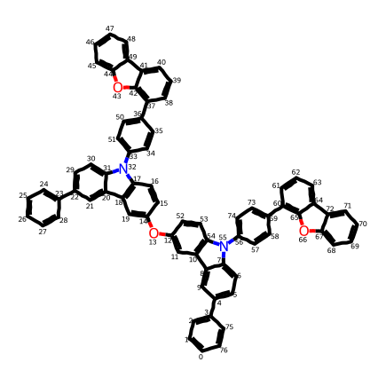 c1ccc(-c2ccc3c(c2)c2cc(Oc4ccc5c(c4)c4cc(-c6ccccc6)ccc4n5-c4ccc(-c5cccc6c5oc5ccccc56)cc4)ccc2n3-c2ccc(-c3cccc4c3oc3ccccc34)cc2)cc1